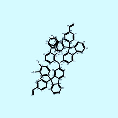 C=Cc1ccc(C2(c3ccc(F)c(F)c3F)c3ccccc3-c3ccc(N(c4ccc5c(c4)C(c4ccc(C=C)cc4)(c4ccc(F)c(F)c4F)c4ccccc4-5)c4cccc5c4oc4ccccc45)cc32)cc1